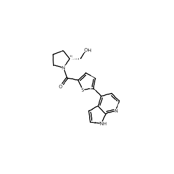 O=C(c1ccc(-c2ccnc3[nH]ccc23)s1)N1CCC[C@@H]1CO